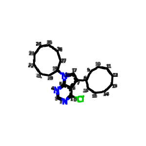 Clc1ncnc2c1c(C1CCCCCCCC1)cn2C1CCCCCCCC1